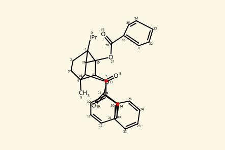 CC(C)C12CCC(C)(C(C(=O)c3ccccc3)C1)C(OC(=O)c1ccccc1)C2OC(=O)c1ccccc1